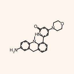 CN1c2ccc(N)cc2Cc2cccc(-c3cc(N4CCOCC4)cc(=O)[nH]3)c21